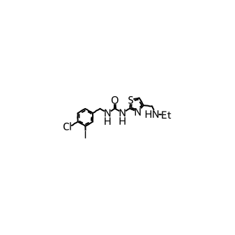 CCNCc1csc(NC(=O)NCc2ccc(Cl)c(I)c2)n1